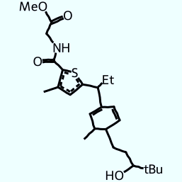 CCC(C1=CC(C)C(CCC(O)C(C)(C)C)C=C1)c1cc(C)c(C(=O)NCC(=O)OC)s1